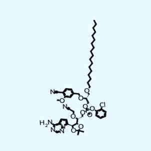 CCCCCCCCCCCCCCCCCCOC[C@H](COP(=O)(OC[C@@H](OCC#N)[C@H]1OC(C)(C)O[C@H]1c1ccc2c(N)ncnn12)Oc1ccccc1Cl)OCc1ccc(C#N)c(OC)c1